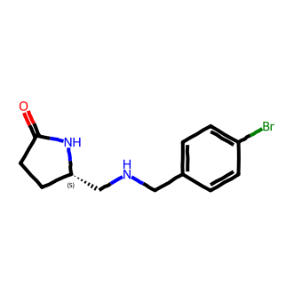 O=C1CC[C@@H](CNCc2ccc(Br)cc2)N1